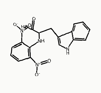 O=C(O)C(Cc1c[nH]c2ccccc12)Nc1c([N+](=O)[O-])cccc1[N+](=O)[O-]